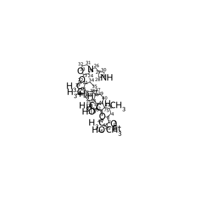 CCO[C@@H](C1C[C@@H](C)[C@H]2C(O1)[C@H](O)[C@@]1(C)[C@H]3CC[C@H]4C(C)(C)[C@@H](O[C@H]5CN(CC6CNC6)CCO5)CC[C@@]45C[C@@]35CC[C@]21C)C(C)(C)O